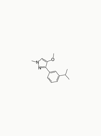 COc1cn(C)nc1-c1cccc(C(C)C)c1